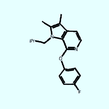 Cc1c(C)n(CC(C)C)c2c(Oc3ccc(F)cc3)nccc12